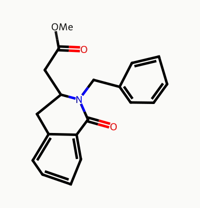 COC(=O)CC1Cc2ccccc2C(=O)N1Cc1ccccc1